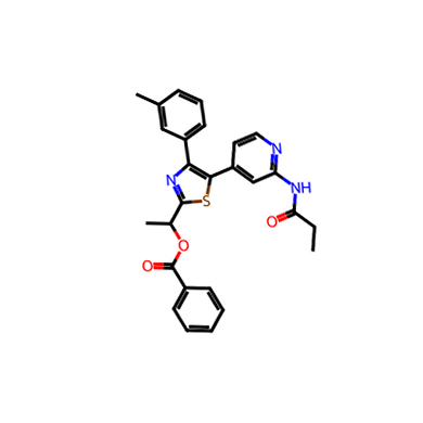 CCC(=O)Nc1cc(-c2sc(C(C)OC(=O)c3ccccc3)nc2-c2cccc(C)c2)ccn1